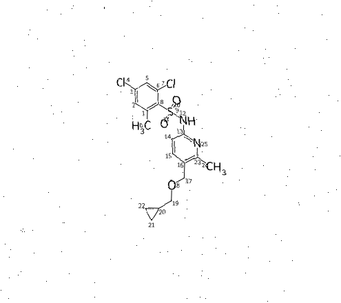 Cc1cc(Cl)cc(Cl)c1S(=O)(=O)Nc1ccc(COCC2CC2)c(C)n1